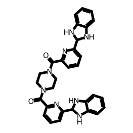 O=C(c1cccc(C2Nc3ccccc3N2)n1)N1CCN(C(=O)c2cccc(C3Nc4ccccc4N3)n2)CC1